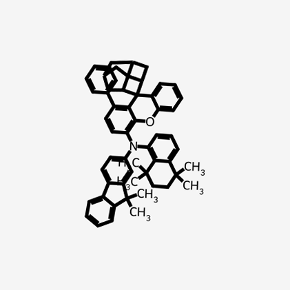 CC1(C)CCC(C)(C)c2c(N(c3ccc4c(c3)C(C)(C)c3ccccc3-4)c3ccc(-c4ccccc4)c4c3Oc3ccccc3C43C4CC5CC6CC3C64C5)cccc21